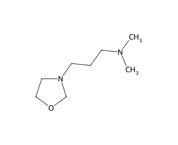 CN(C)CCCN1CCOC1